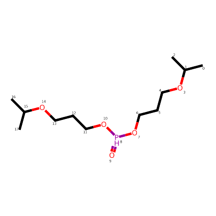 CC(C)OCCCO[PH](=O)OCCCOC(C)C